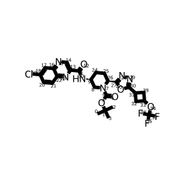 CC(C)(C)OC(=O)N1C[C@H](NC(=O)c2cnc3cc(Cl)ccc3n2)CC[C@H]1c1nnc(C2CC(OC(F)(F)F)C2)o1